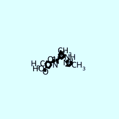 Cc1cc(Nc2nccc(C)n2)cc(-c2cnc([C@]3(O)CC[C@@H](C(=O)O)[C@H](C)C3)s2)c1